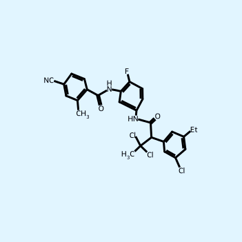 CCc1cc(Cl)cc(C(C(=O)Nc2ccc(F)c(NC(=O)c3ccc(C#N)cc3C)c2)C(C)(Cl)Cl)c1